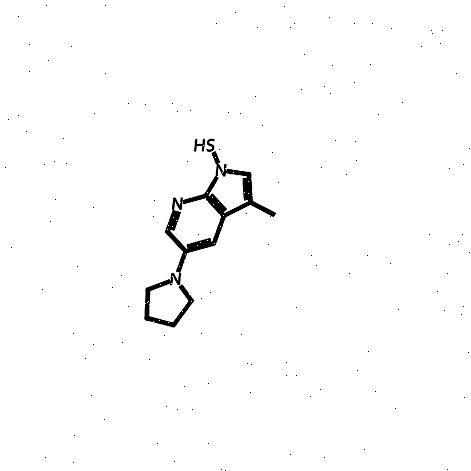 Cc1cn(S)c2ncc(N3CCCC3)cc12